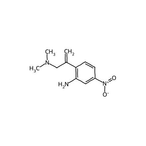 C=C(CN(C)C)c1ccc([N+](=O)[O-])cc1N